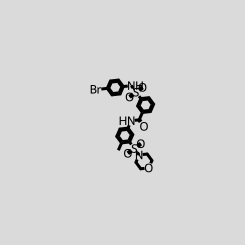 Cc1ccc(NC(=O)c2cccc(S(=O)(=O)Nc3ccc(Br)cc3)c2)cc1S(=O)(=O)N1CCOCC1